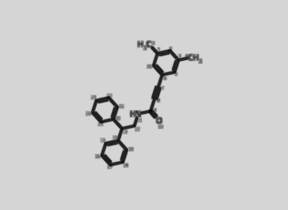 Cc1cc(C)cc(C#CC(=O)NCC(c2ccccc2)c2ccccc2)c1